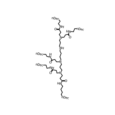 CCCCCCCCCCCCCCNC(=O)CCN(CCCN(CCCCNCCCN(CCC(=O)NCCCCCCCCCCCC)CCC(=O)NCCCCCCCCCCCC)CCC(=O)NCCCCCCCCCCCC)CCC(=O)NCCCCCCCCCCCC